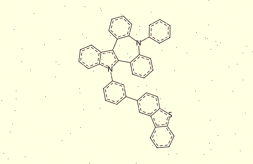 c1ccc(N2c3ccccc3-c3c(n(-c4cccc(-c5ccc6sc7ccccc7c6c5)c4)c4ccccc34)-c3ccccc32)cc1